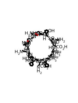 CCCC[C@H]1C(=O)N(C)[C@@H](CCCC)C(=O)N[C@@H](CCC(=O)O)C(=O)N[C@H](C(=O)NCC(N)=O)CSCC(=O)N[C@@H](Cc2ccc(O)cc2)C(=O)N2CCCC[C@H]2C(=O)N[C@@H](CC(N)=O)C(=O)N2CCC[C@H]2C(=O)N[C@@H](Cc2cnc[nH]2)C(=O)N[C@@H](CCCCN)C(=O)N2C[C@H](O)C[C@H]2C(=O)N[C@@H](Cc2c[nH]c3ccccc23)C(=O)N[C@@H](CCCCN)C(=O)N[C@@H](Cc2cn(CC(=O)O)c3ccccc23)C(=O)N1C